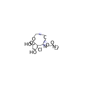 O=C1OCC/C=C/CC/C=C/C(=N\OCC(=O)N2CC=CC2)Cc2c(Cl)c(O)cc(O)c21